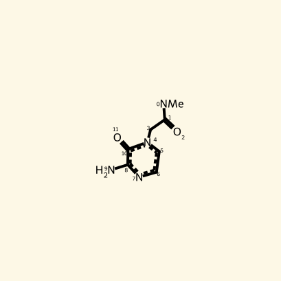 CNC(=O)Cn1ccnc(N)c1=O